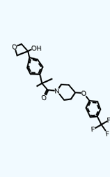 CC(C)(C(=O)N1CCC(Oc2ccc(C(F)(F)F)cc2)CC1)c1ccc(C2(O)COC2)cc1